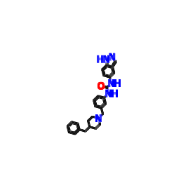 O=C(Nc1cccc(CN2CCC(Cc3ccccc3)CC2)c1)Nc1ccc2[nH]ncc2c1